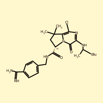 CC(Nc1nc(Cl)c2n(c1=O)[C@H](C(=O)NCc1ccc(C(=N)N)cc1)CC2(C)C)C(C)(C)C